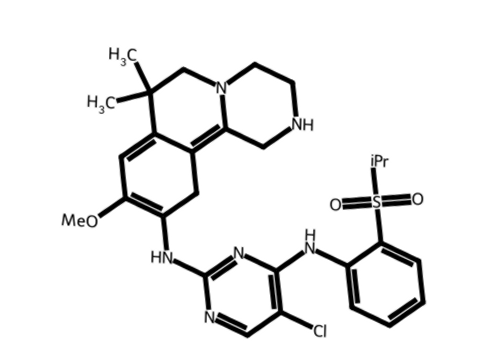 COC1=C(Nc2ncc(Cl)c(Nc3ccccc3S(=O)(=O)C(C)C)n2)CC2=C3CNCCN3CC(C)(C)C2=C1